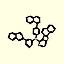 c1cc(-c2ccc3ccccc3c2)cc(N(c2ccc(-c3cccc4ccccc34)cc2)c2nccc3oc4c5ccccc5ccc4c23)c1